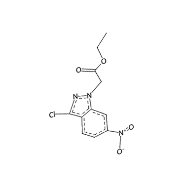 CCOC(=O)Cn1nc(Cl)c2ccc([N+](=O)[O-])cc21